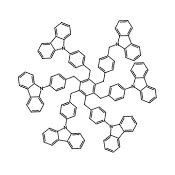 c1ccc2c(c1)c1ccccc1n2Cc1ccc(Cc2c(Cc3ccc(-n4c5ccccc5c5ccccc54)cc3)c(Cc3ccc(-n4c5ccccc5c5ccccc54)cc3)c(Cc3ccc(-n4c5ccccc5c5ccccc54)cc3)c(Cc3ccc(-n4c5ccccc5c5ccccc54)cc3)c2Cc2ccc(-n3c4ccccc4c4ccccc43)cc2)cc1